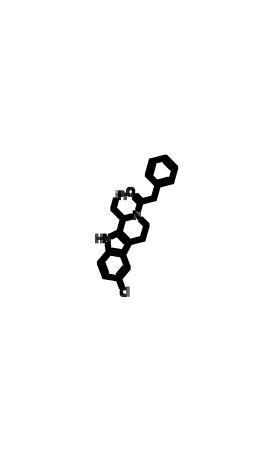 CC(C)CC1c2[nH]c3ccc(Cl)cc3c2CCN1C(=O)Cc1ccccc1